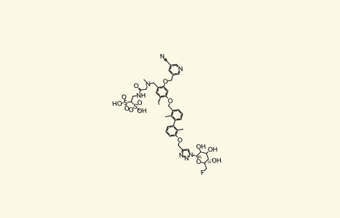 Cc1c(COc2cc(OCc3cncc(C#N)c3)c(CN(C)CC(=O)NCC(S(=O)(=O)O)S(=O)(=O)O)cc2I)cccc1-c1cccc(OCc2cn([C@@H]3OC(CF)[C@@H](O)C(O)C3O)nn2)c1C